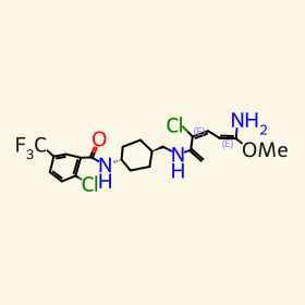 C=C(NC[C@H]1CC[C@H](NC(=O)c2cc(C(F)(F)F)ccc2Cl)CC1)/C(Cl)=C\C=C(/N)OC